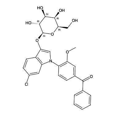 COc1cc(C(=O)c2ccccc2)ccc1-n1cc(O[C@@H]2O[C@H](CO)[C@H](O)[C@H](O)[C@H]2O)c2ccc(Cl)cc21